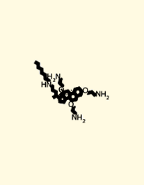 CCCCCCCCNCCCC(C)C1CCC2C3[C@H](OCCCN)CC4C[C@H](OCCCN)CC[C@]4(C)[C@H]3C[C@H](OCCCN)C12C